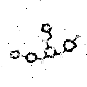 Oc1ccc(Nc2nc(NCc3ccco3)nc(Nc3ccc(-n4cnnc4)cc3)n2)cc1